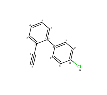 C#Cc1ccccc1-c1ccc(Cl)cc1